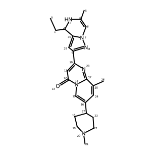 CCC1NC(C)=Cn2nc(-c3cc(=O)n4cc(C5CCN(C)CC5)cc(C)c4n3)cc21